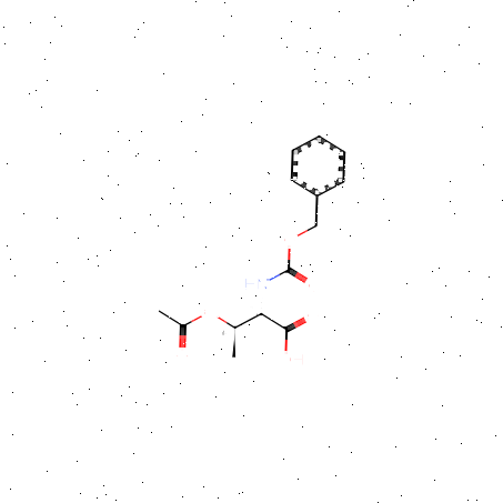 CC(=O)O[C@H](C)[C@H](NC(=O)OCc1ccccc1)C(=O)O